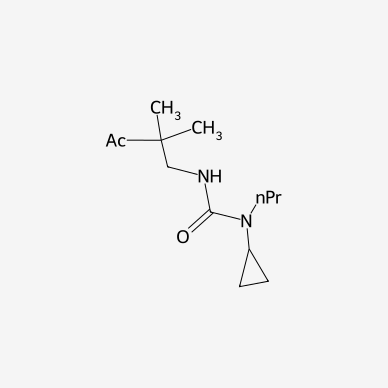 CCCN(C(=O)NCC(C)(C)C(C)=O)C1CC1